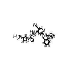 N#Cc1cnc(NCc2ccccc2OC(F)(F)F)nc1NCCC(=O)N1CC[C@H](N)C1